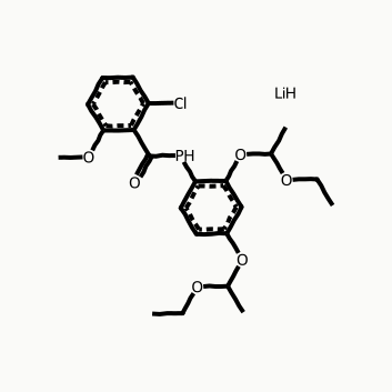 CCOC(C)Oc1ccc(PC(=O)c2c(Cl)cccc2OC)c(OC(C)OCC)c1.[LiH]